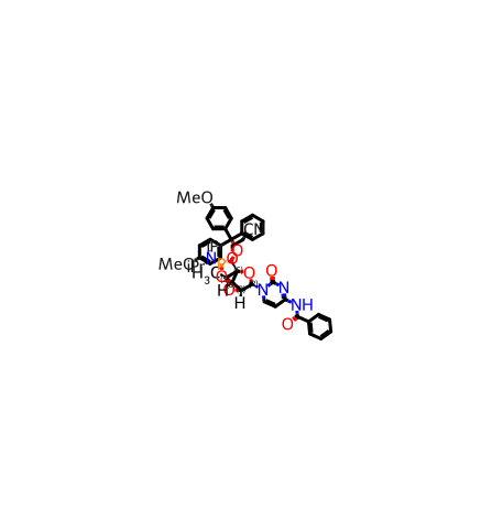 COc1ccc(C(OC[C@]23O[C@@H](n4ccc(NC(=O)c5ccccc5)nc4=O)[C@H](O[C@H]2C)[C@@H]3OP(OCCC#N)N(C(C)C)C(C)C)(c2ccccc2)c2ccc(OC)cc2)cc1